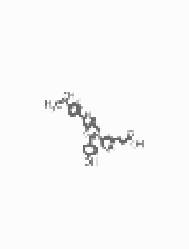 CN(C)c1ccc(-c2ccc(CN(C(=O)C3CCC(O)CC3)c3cnnc(C=CC(=O)O)c3)cn2)cc1